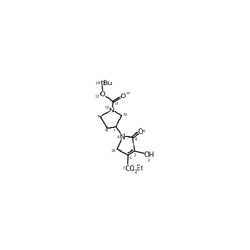 CCOC(=O)C1=C(O)C(=O)N(C2CCN(C(=O)OC(C)(C)C)C2)C1